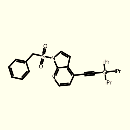 CC(C)[Si](C#Cc1ccnc2c1ccn2S(=O)(=O)Cc1ccccc1)(C(C)C)C(C)C